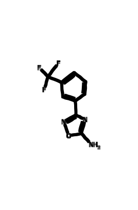 Nc1nc(-c2cccc(C(F)(F)F)c2)no1